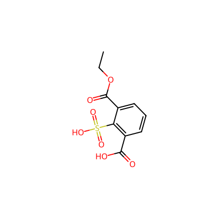 CCOC(=O)c1cccc(C(=O)O)c1S(=O)(=O)O